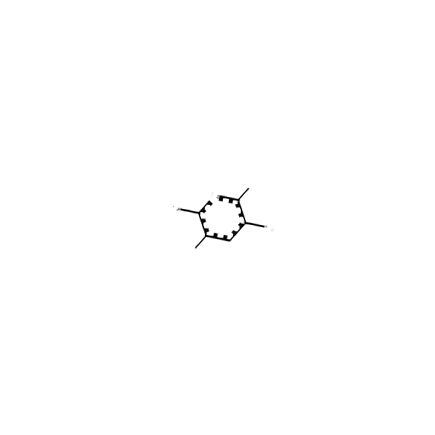 O=[N+]([O-])c1nc(Cl)c(Br)cc1O